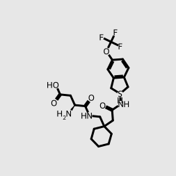 N[C@@H](CC(=O)O)C(=O)NCC1(CC(=O)N[SH]2Cc3ccc(OC(F)(F)F)cc3C2)CCCCC1